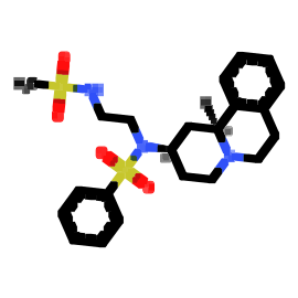 CS(=O)(=O)NCCN([C@@H]1CCN2CCc3ccccc3[C@@H]2C1)S(=O)(=O)c1ccccc1